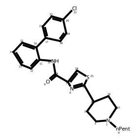 CCCCCN1CCC(c2nc(C(=O)Nc3ccccc3-c3ccc(Cl)cc3)cs2)CC1